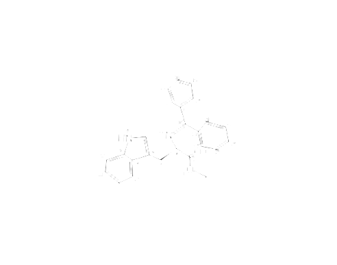 COC(=O)[C@@H](Cc1c[nH]c2ccccc12)N=C(c1ccccc1)c1ccccc1